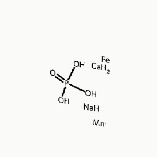 O=P(O)(O)O.[CaH2].[Fe].[Mn].[NaH]